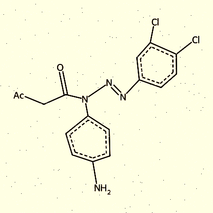 CC(=O)CC(=O)N(N=Nc1ccc(Cl)c(Cl)c1)c1ccc(N)cc1